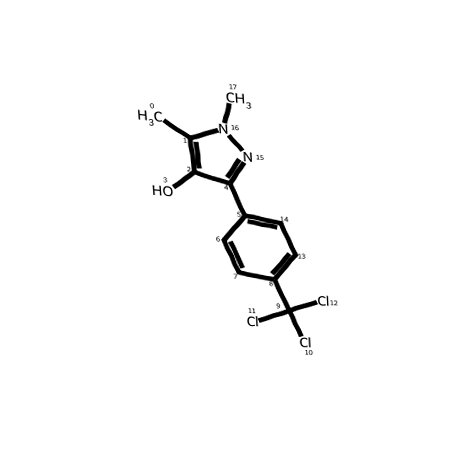 Cc1c(O)c(-c2ccc(C(Cl)(Cl)Cl)cc2)nn1C